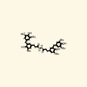 CC(C)(C)c1cc(CCC(=O)NNC(=O)CCc2cc(Cc3cc(C(C)(C)C)c(O)c(C(C)(C)C)c3)c(O)c(C(C)(C)C)c2)cc(Cc2cc(C(C)(C)C)c(O)c(C(C)(C)C)c2)c1O